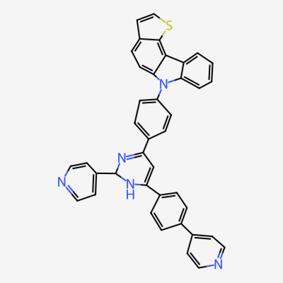 C1=C(c2ccc(-c3ccncc3)cc2)NC(c2ccncc2)N=C1c1ccc(-n2c3ccccc3c3c4sccc4ccc32)cc1